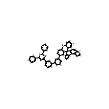 c1ccc(-c2nc(-c3ccccc3)nc(-c3cccc(-c4cccc(-c5ccc6c(c5)C5(c7ccccc7O6)c6ccccc6-c6c5ccc5occc65)c4)c3)n2)cc1